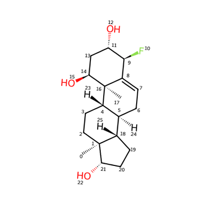 C[C@]12CC[C@H]3[C@@H](CC=C4[C@H](F)[C@@H](O)C[C@H](O)[C@@]43C)[C@@H]1CC[C@@H]2O